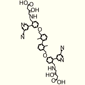 Cc1c(COc2ccc(CNC[C@@H](O)CC(=O)O)c(-c3cncc(C#N)c3)c2)cccc1-c1cccc(COc2ccc(CNC[C@@H](O)CC(=O)O)c(-c3cncc(C#N)c3)c2)c1C